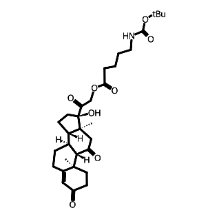 CC(C)(C)OC(=O)NCCCCC(=O)OCC(=O)[C@@]1(O)CC[C@H]2[C@@H]3CCC4=CC(=O)CC[C@]4(C)[C@H]3C(=O)C[C@@]21C